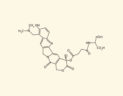 CCCCCCCCC(NC(=O)CCC(=O)O[C@]1(CC)C(=O)OCc2c1cc1n(c2=O)Cc2cc3c(CN(C)C)c(O)ccc3nc2-1)C(=O)O